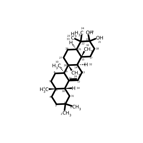 CC1(C)CC[C@]2(C)CC[C@]3(C)C(=CC[C@@H]4[C@@]5(C)CCC(O)(O)C(C)(C)[C@@H]5CC[C@]43C)[C@@H]2C1